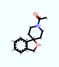 CC(=O)N1CCC2(CC1)OCc1ccccc12